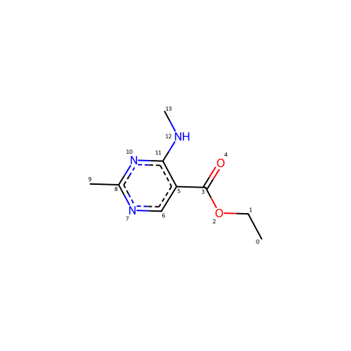 CCOC(=O)c1cnc(C)nc1NC